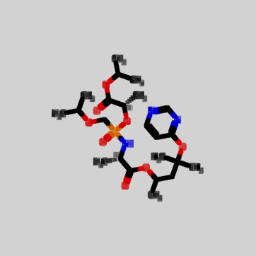 CC(C)OCP(=O)(N[C@@H](C)C(=O)OC(C)CC(C)(C)Oc1ccncn1)O[C@@H](C)C(=O)OC(C)C